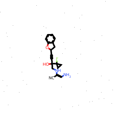 N#C/C(=C/N)NCC(O)(C#CC1Cc2ccccc2O1)C1(F)CC1